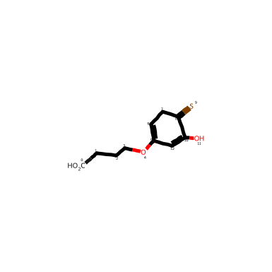 O=C(O)CCCOC1=CCC(=S)C(O)=C1